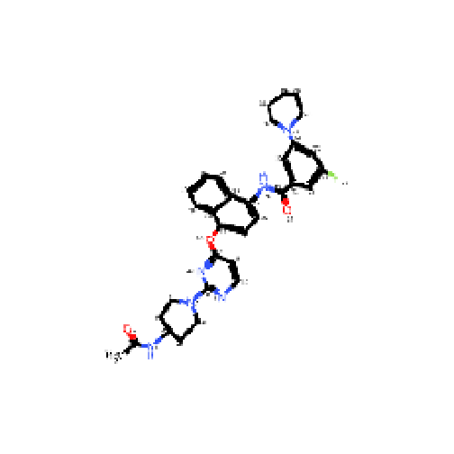 CC(=O)NC1CCN(c2nccc(Oc3ccc(NC(=O)c4cc(F)cc(N5CCCCC5)c4)c4ccccc34)n2)CC1